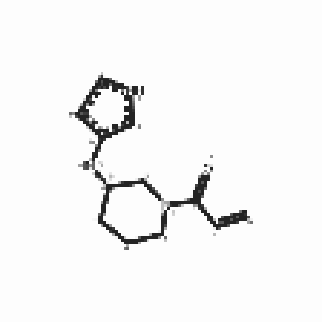 C=CC(=O)N1CCC[C@@H](Nc2cc[nH]c2)C1